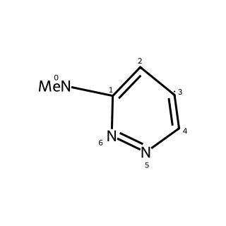 CNc1c[c]cnn1